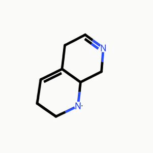 C1=NCC2[N]CCC=C2C1